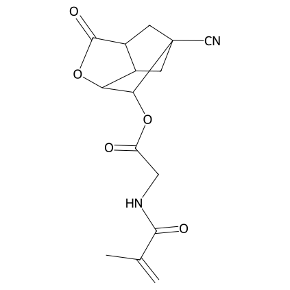 C=C(C)C(=O)NCC(=O)OC1C2OC(=O)C3CC1(C#N)CC32